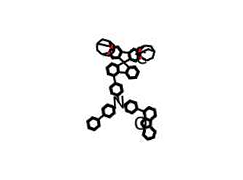 c1ccc(-c2ccc(N(c3ccc(-c4cccc5c4-c4ccccc4C54c5cc6c(cc5-c5cc7c(cc54)C4CC5CC(CC7C5)C4)C4CC5CC(C4)CC6C5)cc3)c3ccc(-c4cccc5c4oc4ccccc45)cc3)cc2)cc1